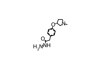 CN1CC[C@H](Oc2ccc(CC(=O)NN)cc2)C1